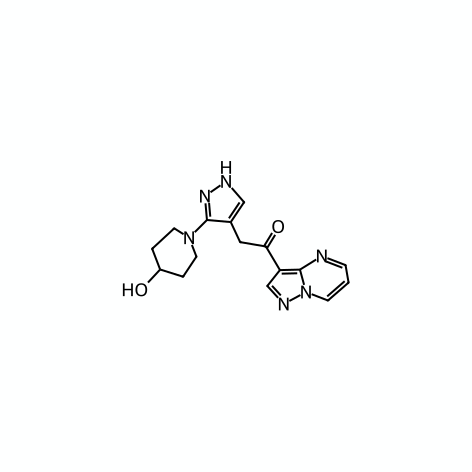 O=C(Cc1c[nH]nc1N1CCC(O)CC1)c1cnn2cccnc12